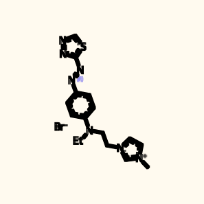 CCN(CCn1cc[n+](C)c1)c1ccc(/N=N/c2nncs2)cc1.[Br-]